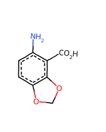 Nc1ccc2c(c1C(=O)O)OCO2